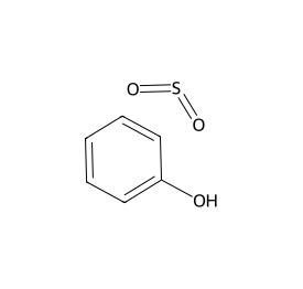 O=S=O.Oc1ccccc1